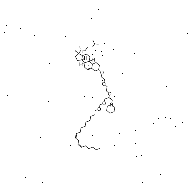 CCCCC/C=C\C/C=C\CCCCCCCCOCOCC(CN1CCCCC1)OCCOCCO[C@H]1CC[C@@]2(C)C(=CC[C@@H]3[C@@H]2CC[C@@]2(C)[C@H]3CC[C@]2(C)[C@H](C)CCCC(C)C)C1